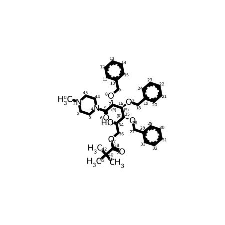 CN1CCN(C(=O)[C@H](OCc2ccccc2)[C@@H](OCc2ccccc2)[C@H](OCc2ccccc2)C(O)COC(=O)C(C)(C)C)CC1